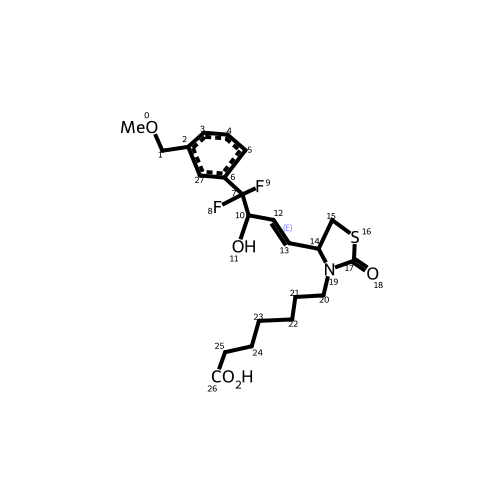 COCc1cccc(C(F)(F)C(O)/C=C/C2CSC(=O)N2CCCCCCC(=O)O)c1